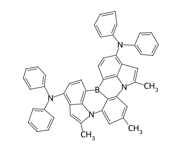 Cc1cc2c3c(c1)-n1c(C)cc4c(N(c5ccccc5)c5ccccc5)ccc(c41)B3c1ccc(N(c3ccccc3)c3ccccc3)c3cc(C)n-2c13